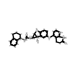 O=C1CCc2c(Oc3ccc4c(c3)[C@@H]3C(O4)[C@H]3NC(=O)N[C@@H]3CCCc4ccccc43)ccnc2N1